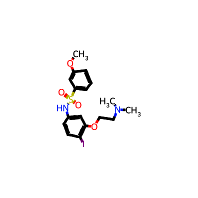 COc1cccc(S(=O)(=O)Nc2ccc(I)c(OCCN(C)C)c2)c1